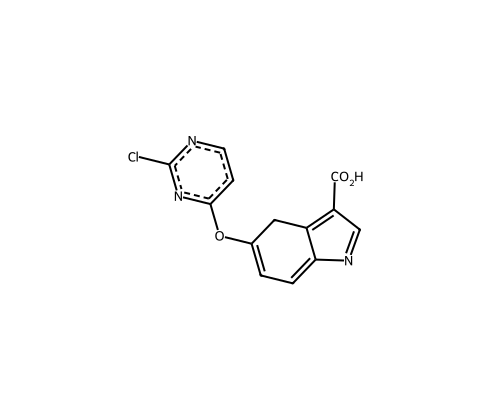 O=C(O)C1=C2CC(Oc3ccnc(Cl)n3)=CC=C2N=C1